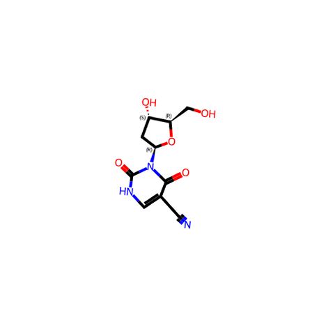 N#Cc1c[nH]c(=O)n([C@H]2C[C@H](O)[C@@H](CO)O2)c1=O